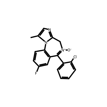 Cc1cnc2n1-c1ccc(F)cc1C(c1ccccc1Cl)=[N+]([O-])C2